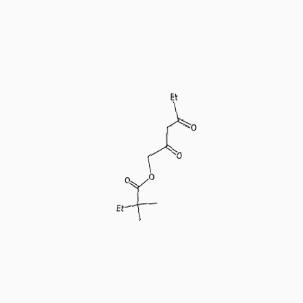 CCC(=O)CC(=O)COC(=O)C(C)(C)CC